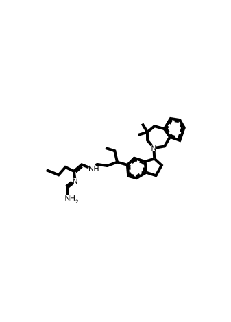 CCCC(=C/NCCC(CC)c1ccc2c(c1)C(N1Cc3ccccc3CC(C)(C)C1)CC2)/N=C/N